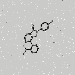 O=C1c2ccnc(-c3ccccc3C(F)F)c2CN1c1ccc(F)cc1